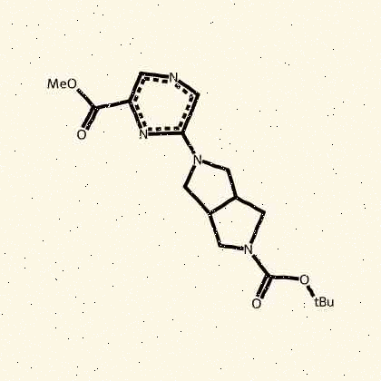 COC(=O)c1cncc(N2CC3CN(C(=O)OC(C)(C)C)CC3C2)n1